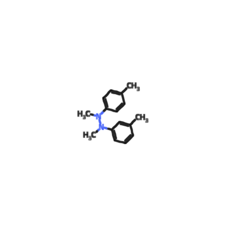 Cc1ccc(N(C)N(C)c2cccc(C)c2)cc1